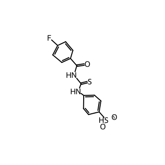 O=C(NC(=S)Nc1ccc([SH](=O)=O)cc1)c1ccc(F)cc1